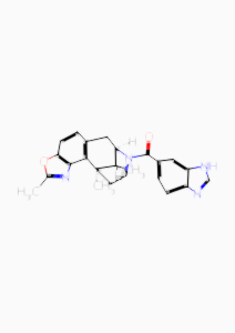 Cc1nc2c3c(ccc2o1)C[C@@H]1[C@@H](C)[C@@]3(C)CCN1C(=O)c1ccc2nc[nH]c2c1